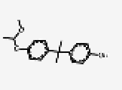 COC(C)Oc1ccc(C(C)(C)c2ccc(O)cc2)cc1